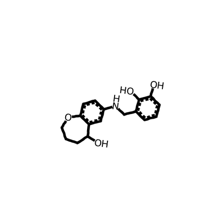 Oc1cccc(CNc2ccc3c(c2)C(O)CCCO3)c1O